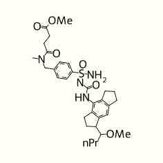 CCCC(OC)C1CCc2c1cc1c(c2NC(=O)N=S(N)(=O)c2ccc(CN(C)C(=O)CCC(=O)OC)cc2)CCC1